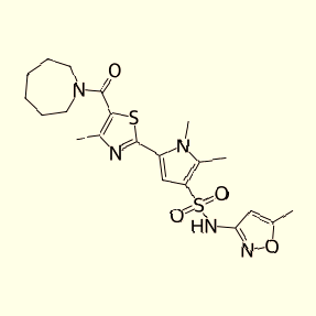 Cc1cc(NS(=O)(=O)c2cc(-c3nc(C)c(C(=O)N4CCCCCC4)s3)n(C)c2C)no1